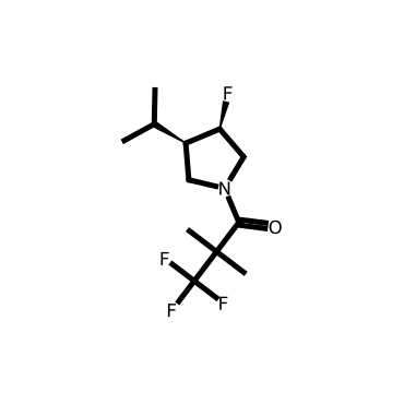 CC(C)[C@@H]1CN(C(=O)C(C)(C)C(F)(F)F)C[C@@H]1F